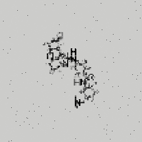 Cc1ccc(CN(C)C)cc1NC(=O)c1ccc(Nc2nc(-c3cc(Cl)ccc3Cl)c3ccccc3n2)cc1